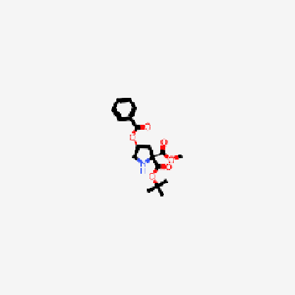 COC(=O)[C@]1(C(=O)OC(C)(C)C)C[C@H](OC(=O)c2ccccc2)CN1